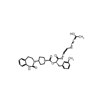 CC(O)=C=C=NC=C=C=NC(=O)[C@@H](Cc1cccc(C)c1)OC(=O)N1CCC(N2CCc3ccccc3NC2=O)CC1